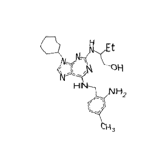 CCC(CO)Nc1nc(NCc2ccc(C)cc2N)c2ncn(C3CCCCC3)c2n1